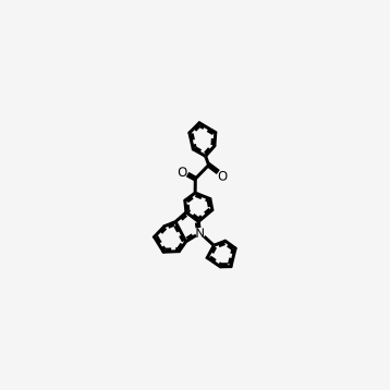 O=C(C(=O)c1ccc2c(c1)c1ccccc1n2-c1ccccc1)c1ccccc1